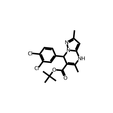 CC1=C(C(=O)OC(C)(C)C)C(c2ccc(Cl)c(Cl)c2)n2nc(C)cc2N1